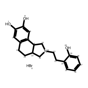 Br.Oc1cc2c(cc1O)C1CN(CCc3ccccc3O)CC1CC2